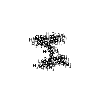 CC(C)COc1c2c(c(-c3ccc(N(c4ccc(-c5c6c(c(OCC(C)C)c7c5C(C)(C)CC7(C)C)C(C)(C)CC6(C)C)cc4)c4ccc(C5C(O)C(c6ccc(N(c7ccc(-c8c9c(c(OCC(C)C)c%10c8C(C)(C)CC%10(C)C)C(C)(C)CC9(C)C)cc7)c7ccc(-c8c9c(c(OCC(C)C)c%10c8C(C)(C)CC%10(C)C)C(C)(C)CC9(C)C)cc7)cc6O)C5O)c(O)c4)cc3)c3c1C(C)(C)CC3(C)C)C(C)(C)CC2(C)C